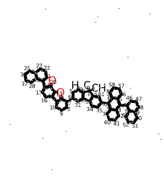 CC1(C)c2ccc(-c3cccc4c3oc3c4ccc4c3oc3ccc5ccccc5c34)cc2-c2ccc(-c3c4ccccc4c(-c4cccc5ccccc45)c4ccccc34)cc21